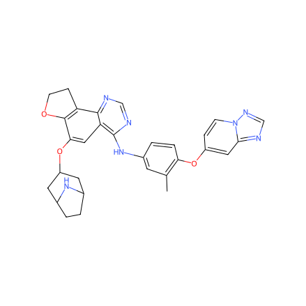 Cc1cc(Nc2ncnc3c4c(c(OC5CC6CCC(C5)N6)cc23)OCC4)ccc1Oc1ccn2ncnc2c1